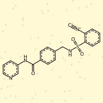 [C-]#[N+]c1ccccc1S(=O)(=O)NCc1ccc(C(=O)Nc2cccnc2)cc1